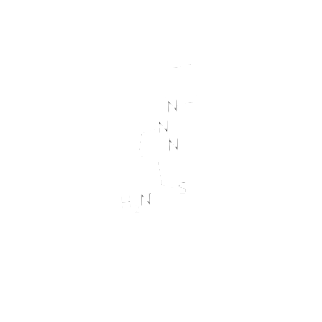 NC(=S)C1=NN(N2CCCCC2)CC1